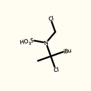 CCC(C)C(C)(Cl)N(CCl)S(=O)(=O)O